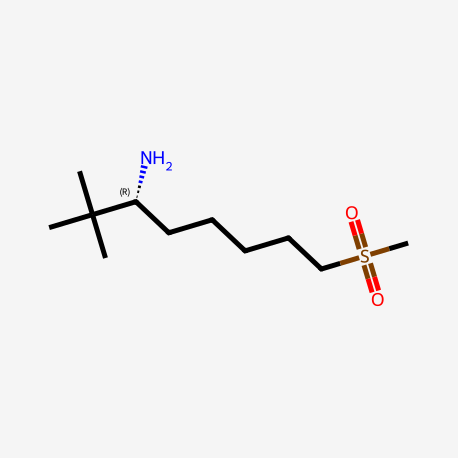 CC(C)(C)[C@H](N)CCCCCS(C)(=O)=O